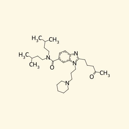 CC(=O)CCCc1nc2ccc(C(=O)N(CCC(C)C)CCC(C)C)cc2n1CCCN1CCCCC1